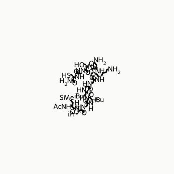 CC[C@@H](C)[C@@H](NC(=O)CNC(=O)[C@@H](CC(C)C)NC(=O)[C@@H](CCSC)NC(C)=O)C(=O)N[C@@H](C(=O)N[C@H](C)C(=O)NCC(=O)N[C@H](CCCCN)C(=O)N[C@H](CC(N)=O)C(=O)N[C@H](CO)C(=O)NCC(=O)N[C@H](CS)C(N)=O)[C@H](C)CC